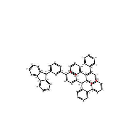 c1ccc(-c2ccccc2N(c2ccc(-c3cccc(-n4c5ccccc5c5ccccc54)c3)cc2)c2cccc(-c3ccccc3)c2-c2ccccc2)cc1